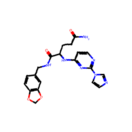 NC(=O)CCC(Nc1ccnc(-n2ccnc2)n1)C(=O)NCc1ccc2c(c1)OCO2